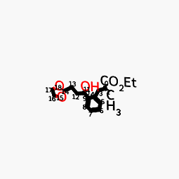 CCOC(=O)C(C)Cc1ccccc1C(O)CCC1OCCO1